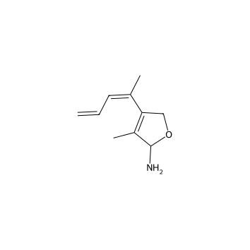 C=C/C=C(/C)C1=C(C)C(N)OC1